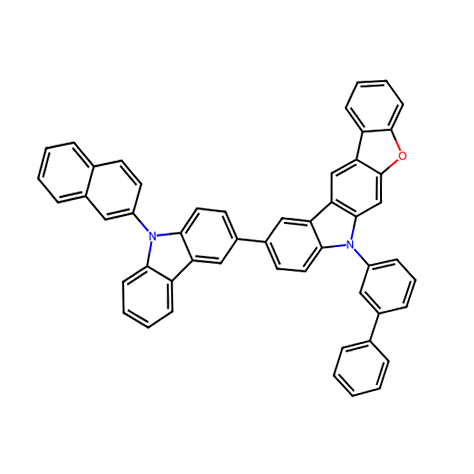 c1ccc(-c2cccc(-n3c4ccc(-c5ccc6c(c5)c5ccccc5n6-c5ccc6ccccc6c5)cc4c4cc5c(cc43)oc3ccccc35)c2)cc1